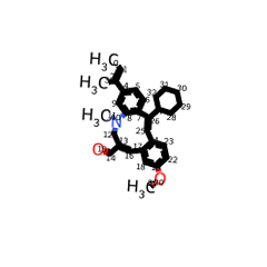 C/C=C(\C)c1ccc2c(c1)N(C)C/C(C=O)=C\c1cc(OC)ccc1/C=C/2C1CCCCC1